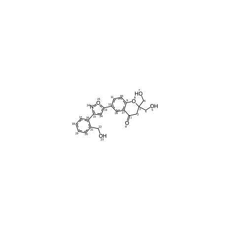 O=C1CC(CO)(CO)Oc2ccc(-c3cc(-c4ccccc4CO)no3)cc21